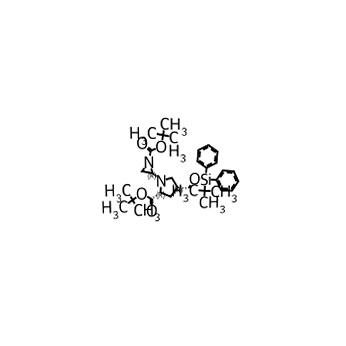 CC(C)(C)OC(=O)[C@H]1C[C@@H](CO[Si](c2ccccc2)(c2ccccc2)C(C)(C)C)CN1[C@H]1CN1C(=O)OC(C)(C)C